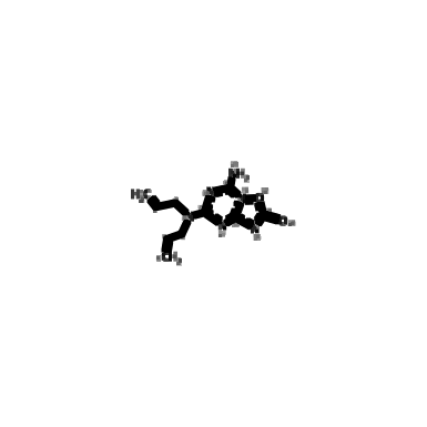 C=CCN(CC=C)c1nc(N)n2oc(=O)nc2n1